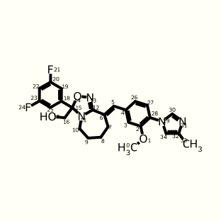 COc1cc(/C=C2\CCCCN3C2=NOC3(CO)c2cc(F)cc(F)c2)ccc1-n1cnc(C)c1